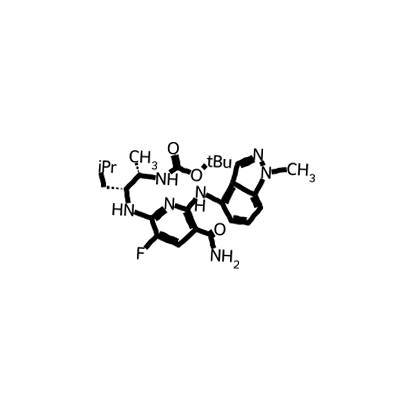 CC(C)C[C@@H](Nc1nc(Nc2cccc3c2cnn3C)c(C(N)=O)cc1F)[C@H](C)NC(=O)OC(C)(C)C